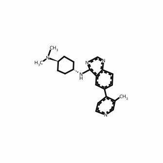 Cc1cnccc1-c1ccc2ncnc(N[C@H]3CC[C@H](N(C)C)CC3)c2c1